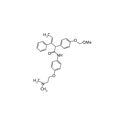 C/C=C(\c1ccccc1)C(C(=O)Nc1ccc(OCCN(C)C)cc1)c1ccc(OCOC)cc1